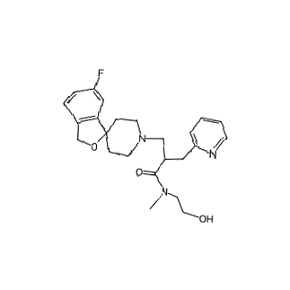 CN(CCO)C(=O)C(Cc1ccccn1)CN1CCC2(CC1)OCc1ccc(F)cc12